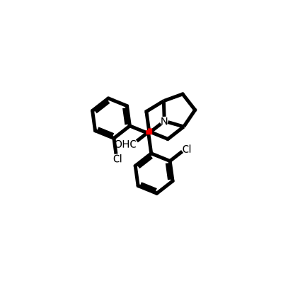 O=CC1CC2CCC(C1)N2C(c1ccccc1Cl)c1ccccc1Cl